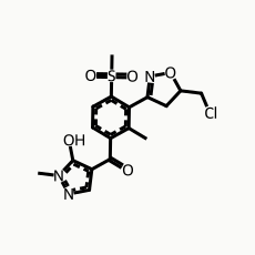 Cc1c(C(=O)c2cnn(C)c2O)ccc(S(C)(=O)=O)c1C1=NOC(CCl)C1